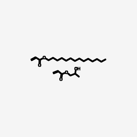 C=CC(=O)OCC(C)O.C=CC(=O)OCCCCCCCCCCCCCC